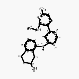 CC(C)Nc1nc(C(F)(F)F)ccc1-c1cc(Nc2cccc3c2CC(O)CC3)ncn1